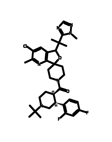 Cc1nc2c(cc1Cl)C(C(C)(C)c1ncnn1C)OC21CCN(C(=O)[C@@H]2CCN(C(C)(C)C)C[C@H]2c2ccc(F)cc2F)CC1